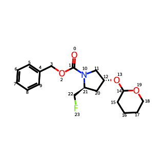 O=C(OCc1ccccc1)N1C[C@H](OC2CCCCO2)C[C@H]1CF